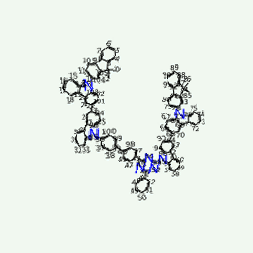 CC1(C)c2ccccc2-c2ccc(-n3c4ccccc4c4cc(-c5ccc6c(c5)c5ccccc5n6-c5ccc(-c6ccc(-c7nc(-c8ccccc8)nc(-n8c9ccccc9c9cc(-c%10ccc%11c(c%10)c%10ccccc%10n%11-c%10ccc%11c(c%10)C(C)(C)c%10ccccc%10-%11)ccc98)n7)cc6)cc5)ccc43)cc21